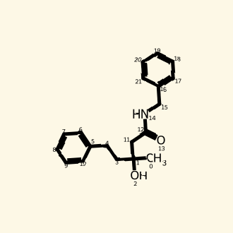 CC(O)(CCc1ccccc1)CC(=O)NCc1ccccc1